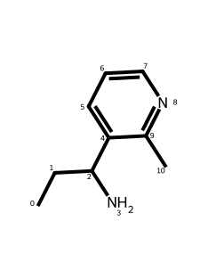 CCC(N)c1cccnc1C